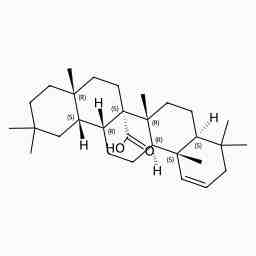 CC1(C)CC[C@]2(C)CC[C@]3(C(=O)O)[C@H](CC[C@@H]4[C@@]5(C)C=CCC(C)(C)[C@@H]5CC[C@]43C)[C@@H]2C1